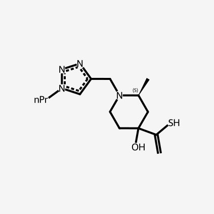 C=C(S)C1(O)CCN(Cc2cn(CCC)nn2)[C@@H](C)C1